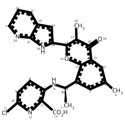 Cc1cc([C@@H](C)Nc2ccc(Cl)nc2C(=O)O)c2oc(-c3cc4cccnc4[nH]3)c(C)c(=O)c2c1